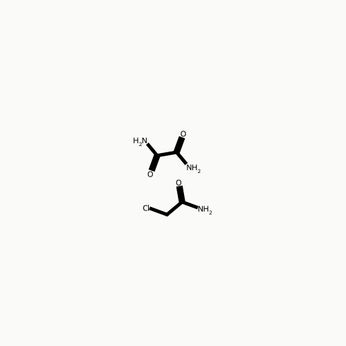 NC(=O)C(N)=O.NC(=O)CCl